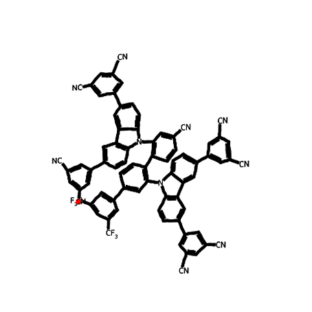 N#Cc1cc(C#N)cc(-c2ccc3c(c2)c2cc(-c4cc(C#N)cc(C#N)c4)ccc2n3-c2cc(C#N)ccc2-c2ccc(-c3cc(C(F)(F)F)cc(C(F)(F)F)c3)cc2-n2c3ccc(-c4cc(C#N)cc(C#N)c4)cc3c3cc(-c4cc(C#N)cc(C#N)c4)ccc32)c1